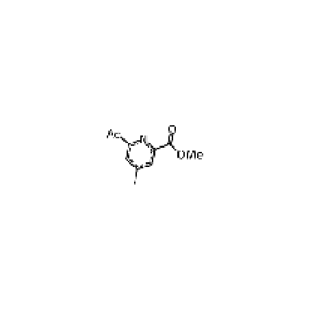 COC(=O)c1cc(C)cc(C(C)=O)n1